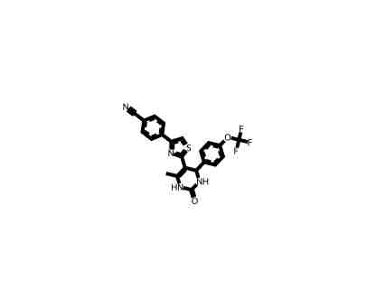 CC1=C(c2nc(-c3ccc(C#N)cc3)cs2)C(c2ccc(OC(F)(F)F)cc2)NC(=O)N1